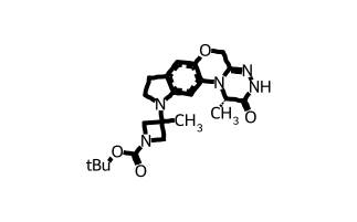 C[C@H]1C(=O)NN=C2COc3cc4c(cc3N21)N(C1(C)CN(C(=O)OC(C)(C)C)C1)CC4